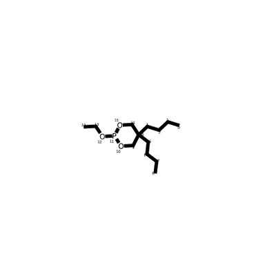 CCCCC1(CCCC)COP(OCC)OC1